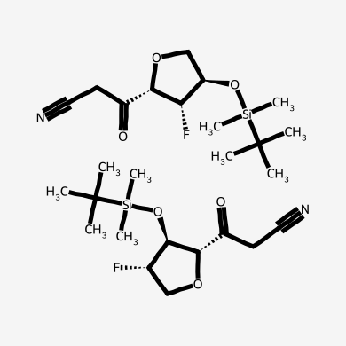 CC(C)(C)[Si](C)(C)O[C@@H]1CO[C@@H](C(=O)CC#N)[C@H]1F.CC(C)(C)[Si](C)(C)O[C@@H]1[C@@H](F)CO[C@H]1C(=O)CC#N